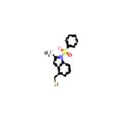 Cc1cc2c(CBr)cccc2n1S(=O)(=O)c1ccccc1